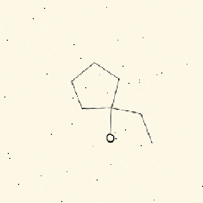 CCC1([O])CCCC1